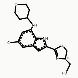 OC[C@@H]1CSC(c2cc3cc(Cl)cc(NC4CCOCC4)c3[nH]2)=N1